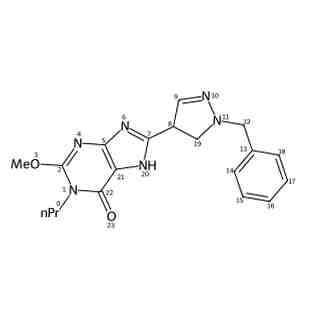 CCCn1c(OC)nc2nc(C3C=NN(Cc4ccccc4)C3)[nH]c2c1=O